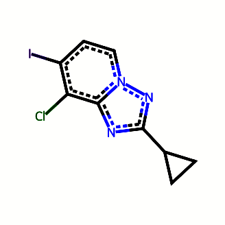 Clc1c(I)ccn2nc(C3CC3)nc12